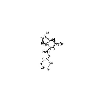 Brc1cc(NCC2CCSCC2)c2ncc(I)n2n1